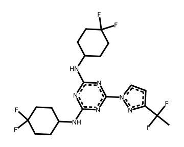 CC(F)(I)c1ccn(-c2nc(NC3CCC(F)(F)CC3)nc(NC3CCC(F)(F)CC3)n2)n1